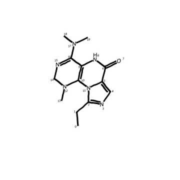 CCc1ncc2c(=O)[nH]c3c(n12)N(C)CN=C3N(C)C